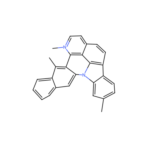 Cc1ccc2c3ccc4cc[n+](C)c5c6c(C)c7ccccc7cc6n(c2c1)c3c45